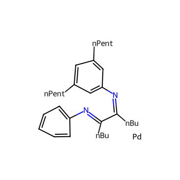 CCCCCc1cc(CCCCC)cc(N=C(CCCC)C(CCCC)=Nc2ccccc2)c1.[Pd]